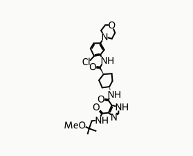 COC(C)(C)CNC(=O)c1nc[nH]c1C(=O)N[C@H]1CC[C@H](C(=O)Nc2cc(N3CCOCC3)ccc2Cl)CC1